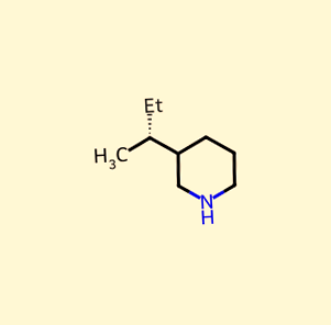 CC[C@@H](C)C1CCCNC1